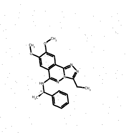 CCc1nnc2c3cc(OC)c(OC)cc3c(N[C@H](C)c3ccccc3)nn12